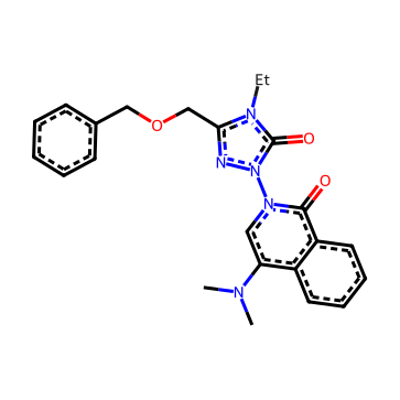 CCn1c(COCc2ccccc2)nn(-n2cc(N(C)C)c3ccccc3c2=O)c1=O